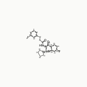 O=C(CCc1cccc(F)c1)Nn1c(N2CCCC2)nc2cc(F)ccc2c1=O